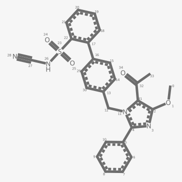 COc1nc(-c2ccccc2)n(Cc2ccc(-c3ccccc3S(=O)(=O)NC#N)cc2)c1C(C)=O